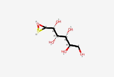 OC[C@@H](O)[C@@H](O)[C@H](O)[C@@H](O)C1OS1